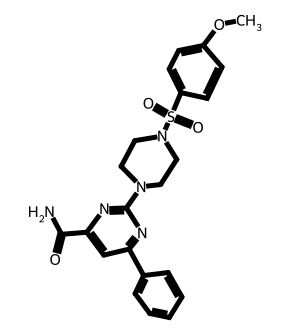 COc1ccc(S(=O)(=O)N2CCN(c3nc(C(N)=O)cc(-c4ccccc4)n3)CC2)cc1